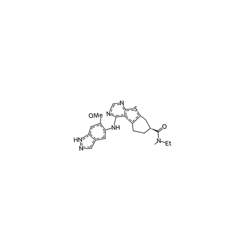 CCN(C)C(=O)[C@H]1CCc2c(sc3ncnc(Nc4cc5cn[nH]c5cc4OC)c23)C1